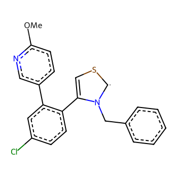 COc1ccc(-c2cc(Cl)ccc2C2=CS[CH]N2Cc2ccccc2)cn1